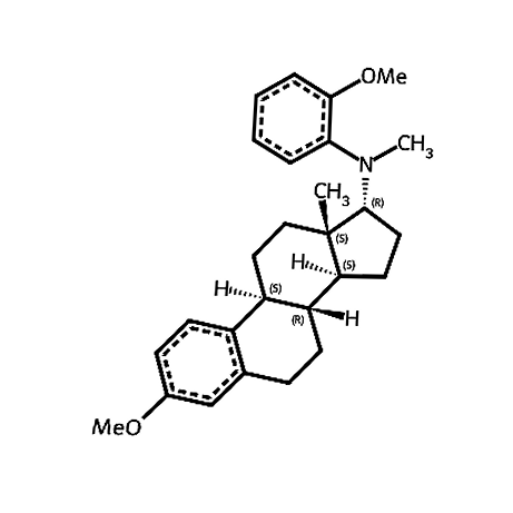 COc1ccc2c(c1)CC[C@@H]1[C@@H]2CC[C@@]2(C)[C@H]1CC[C@H]2N(C)c1ccccc1OC